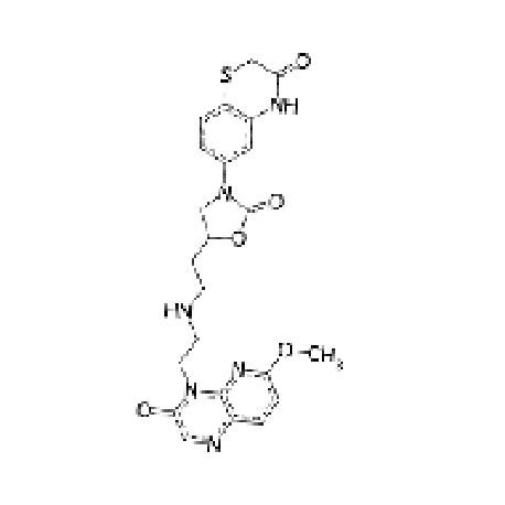 COc1ccc2ncc(=O)n(CCNCCC3CN(c4ccc5c(c4)NC(=O)CS5)C(=O)O3)c2n1